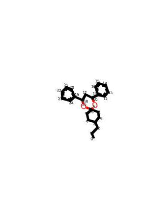 CCCC1CCC2(CC1)OC(c1ccccc1)CC(c1ccccc1)O2